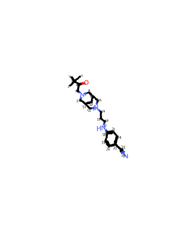 CC(C)(C)C(=O)CN1CC2CC(CN(CCCNc3ccc(C#N)cc3)C2)C1